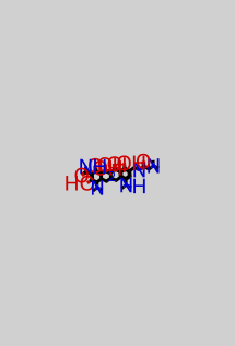 CN(C)CC(=O)NCc1cc(N(C)C)c2c(c1O)C(=O)C1=C(O)C3(O)C(=O)C(C(N)=O)=C(O)C(N(C)C)C3CC1C2